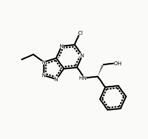 CCn1nnc2c(N[C@H](CO)c3ccccc3)nc(Cl)nc21